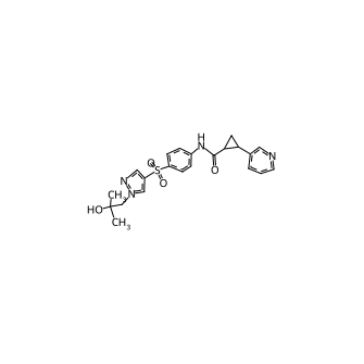 CC(C)(O)Cn1cc(S(=O)(=O)c2ccc(NC(=O)C3CC3c3cccnc3)cc2)cn1